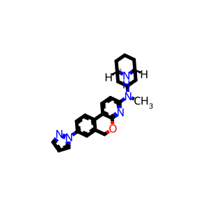 CN(c1ccc2c(n1)OCc1cc(-n3cccn3)ccc1-2)C1C[C@H]2CCC[C@@H](C1)N2